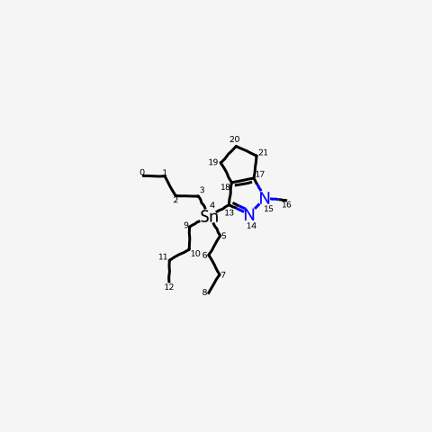 CCC[CH2][Sn]([CH2]CCC)([CH2]CCC)[c]1nn(C)c2c1CCC2